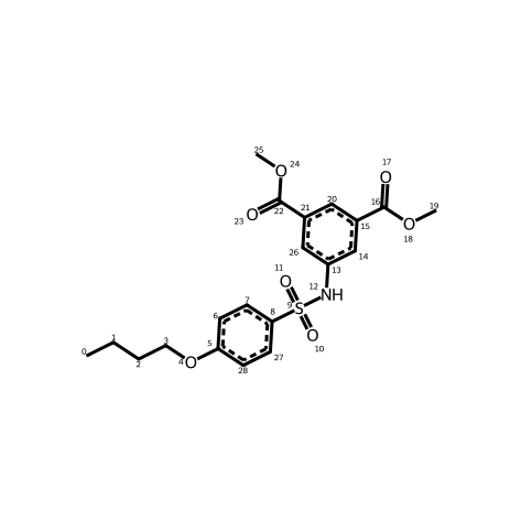 CCCCOc1ccc(S(=O)(=O)Nc2cc(C(=O)OC)cc(C(=O)OC)c2)cc1